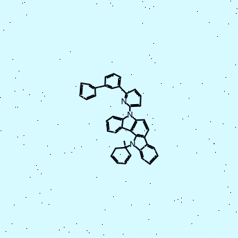 CC1(n2c3ccccc3c3ccc4c(c5ccccc5n4-c4cccc(-c5cccc(-c6ccccc6)c5)n4)c32)C=CC=CC1